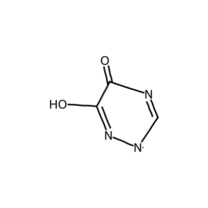 O=C1N=C[N]N=C1O